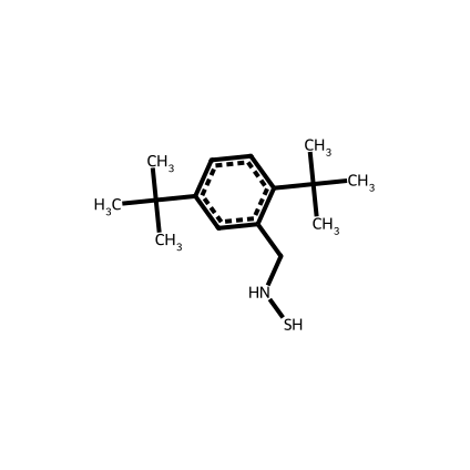 CC(C)(C)c1ccc(C(C)(C)C)c(CNS)c1